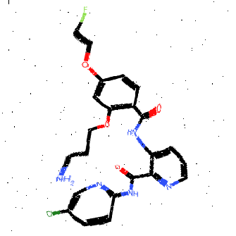 NCCCOc1cc(OCCF)ccc1C(=O)Nc1cccnc1C(=O)Nc1ccc(Cl)cn1